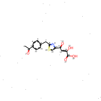 CC(=O)c1ccc(Cc2nc(C(=O)C=C(O)C(=O)O)cs2)cc1